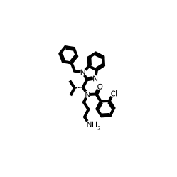 CC(C)[C@H](c1nc2ccccc2n1Cc1ccccc1)N(CCCN)C(=O)c1ccccc1Cl